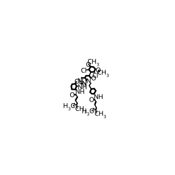 COc1cc(OC)c(Cl)c(-c2cc3cnc(Nc4c(C)cccc4NC(=O)/C=C/CN(C)C)nc3n(CCc3ccc(NC(=O)/C=C/CN(C)C)cc3)c2=O)c1Cl